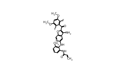 C=CC(=O)Nc1cccc(C)c1Nc1cc2c(N)c(C(=O)c3c(F)c(OC)cc(OC)c3F)oc2cn1